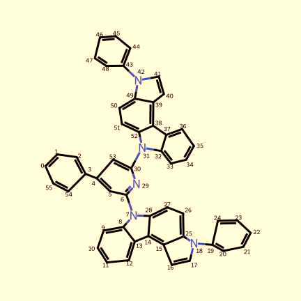 c1ccc(-c2cc(-n3c4ccccc4c4c5ccn(-c6ccccc6)c5ccc43)nc(-n3c4ccccc4c4c5ccn(-c6ccccc6)c5ccc43)c2)cc1